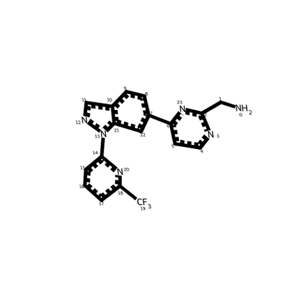 NCc1nccc(-c2ccc3cnn(-c4cccc(C(F)(F)F)n4)c3c2)n1